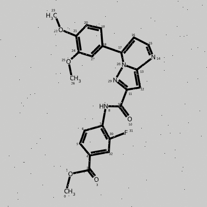 COC(=O)c1ccc(NC(=O)c2cc3nccc(-c4ccc(OC)c(OC)c4)n3n2)c(F)c1